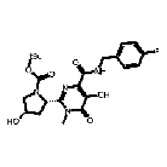 Cn1c([C@@H]2C[C@@H](O)CN2C(=O)OC(C)(C)C)nc(C(=O)NCc2ccc(F)cc2)c(O)c1=O